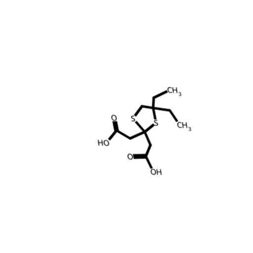 CCC1(CC)CSC(CC(=O)O)(CC(=O)O)S1